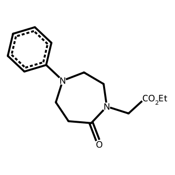 CCOC(=O)CN1CCN(c2ccccc2)CCC1=O